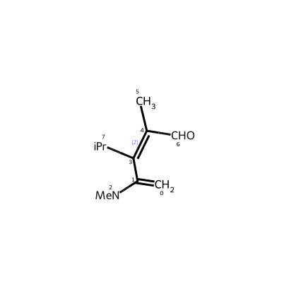 C=C(NC)/C(=C(/C)C=O)C(C)C